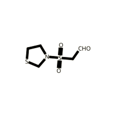 O=CCS(=O)(=O)N1CCSC1